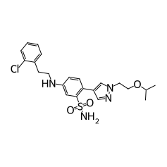 CC(C)OCCn1cc(-c2ccc(NCCc3ccccc3Cl)cc2S(N)(=O)=O)cn1